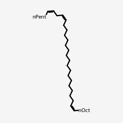 CCCCC/C=C\C/C=C\CCCCCCCC[CH]CCCCCCC/C=C\CCCCCCCC